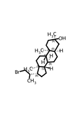 CC(CBr)[C@H]1CC[C@H]2[C@@H]3CC[C@@H]4C[C@](C)(O)CC[C@]4(C)[C@H]3CC[C@]12C